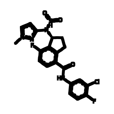 Cn1ccc(N([C@H]2CCc3c(C(=O)Nc4ccc(F)c(Cl)c4)ccc(F)c32)[SH](=O)=O)n1